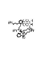 CC(C)CCCOC(=O)c1ccccc1C(=O)OCCCC(C)C.CC(C)CCCc1ccc(C(=O)O)c(C(=O)O)c1CCCC(C)C